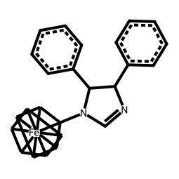 C1=NC(c2ccccc2)C(c2ccccc2)N1[C]12[CH]3[CH]4[CH]5[CH]1[Fe]45321678[CH]2[CH]1[CH]6[CH]7[CH]28